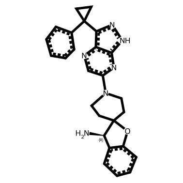 N[C@@H]1c2ccccc2OC12CCN(c1cnc3c(C4(c5ccccc5)CC4)n[nH]c3n1)CC2